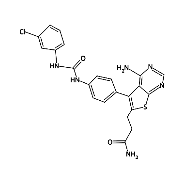 NC(=O)CCc1sc2ncnc(N)c2c1-c1ccc(NC(=O)Nc2cccc(Cl)c2)cc1